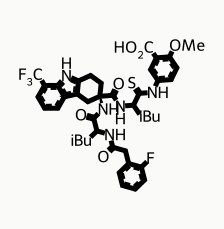 CCC(C)C(NC(=O)Cc1ccccc1F)C(=O)N[C@]1(C(=O)NC(C(=S)Nc2ccc(OC)c(C(=O)O)c2)C(C)CC)CCc2[nH]c3c(C(F)(F)F)cccc3c2C1